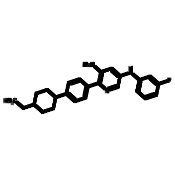 COc1cc(Nc2cccc(F)c2)cnc1-c1ccc(C2CCC(CC(=O)O)CC2)cc1